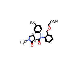 COCOCc1ccccc1NC(=O)[C@H]1C(=O)N(C)C[C@@H]1c1cccc(C(F)(F)F)c1